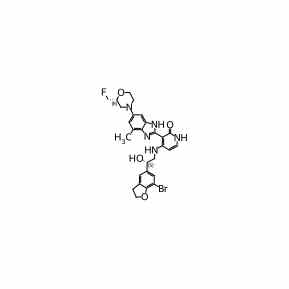 Cc1cc(N2CCO[C@@H](CF)C2)cc2[nH]c(-c3c(NC[C@@H](O)c4cc(Br)c5c(c4)CCO5)cc[nH]c3=O)nc12